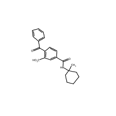 CC1(NC(=O)c2ccc(C(=O)c3ccccc3)c(C(=O)O)c2)CC[CH]CC1